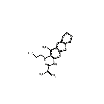 C=C(C)C(=O)Nc1cc2cc3ccccc3cc2c(C)c1NCCC